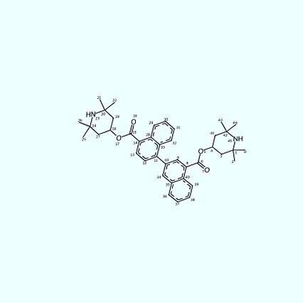 CC1(C)CC(OC(=O)c2cc(-c3ccc(C(=O)OC4CC(C)(C)NC(C)(C)C4)c4ccccc34)cc3ccccc23)CC(C)(C)N1